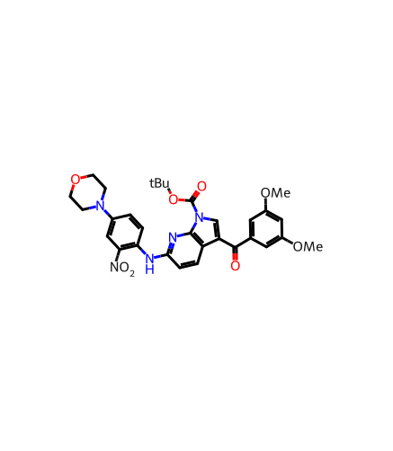 COc1cc(OC)cc(C(=O)c2cn(C(=O)OC(C)(C)C)c3nc(Nc4ccc(N5CCOCC5)cc4[N+](=O)[O-])ccc23)c1